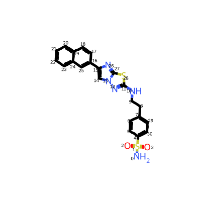 NS(=O)(=O)c1ccc(CCNc2nn3cc(-c4ccc5ccccc5c4)nc3s2)cc1